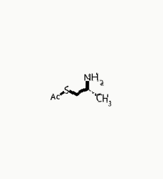 CC(=O)SC[C@@H](C)N